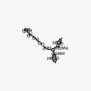 C=C1CC2=CNc3cc(OCc4cc(C#CCNC(=O)CCOCCOCCOCCOCCNC(=O)CCN5C(=O)C=CC5=O)cc(COc5cc6c(cc5OC)C(=O)N5CC(=C)CC5=CN6)c4)c(OC)cc3C(=O)N2C1